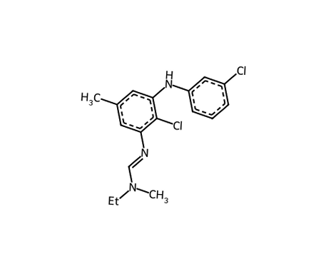 CCN(C)C=Nc1cc(C)cc(Nc2cccc(Cl)c2)c1Cl